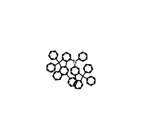 c1ccc(-c2cc3c(c4ccccc24)C(c2ccccc2)(c2ccccc2)c2cccc(N(c4ccccc4)c4ccc5c(c4)C(c4ccccc4)(c4ccccc4)c4ccccc4-5)c2-3)cc1